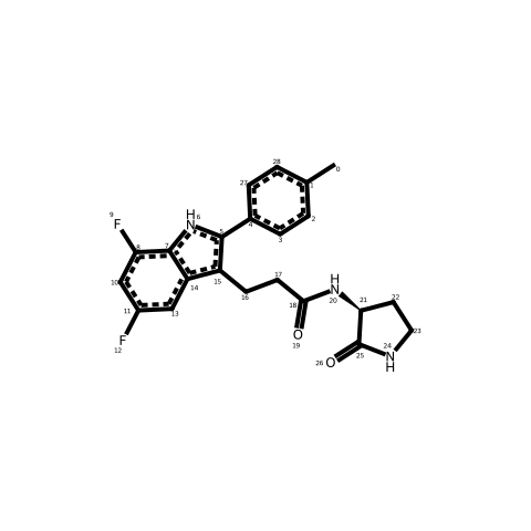 Cc1ccc(-c2[nH]c3c(F)cc(F)cc3c2CCC(=O)N[C@H]2CCNC2=O)cc1